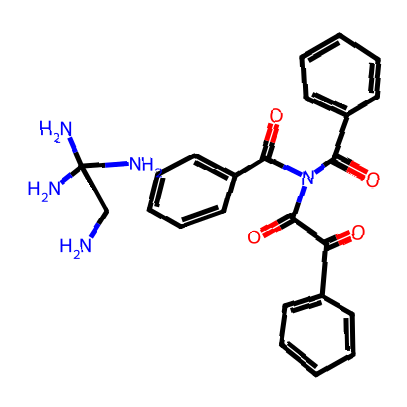 NCC(N)(N)N.O=C(C(=O)N(C(=O)c1ccccc1)C(=O)c1ccccc1)c1ccccc1